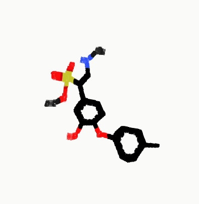 Cc1ccc(Oc2ccc(C(CNC(C)(C)C)S(=O)(=O)OC=O)cc2O)cc1